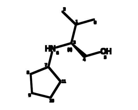 CC(C)[C@@H](CO)NC1CCCC1